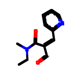 CCN(C)C(=O)C([C]=O)=Cc1ccccn1